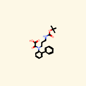 CC(C)(C)OC(=O)NCCCN(C(=O)C(=O)O)c1ccccc1-c1ccccc1